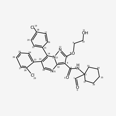 O=CC1(NC(=O)c2c(OCCO)nn3c(-c4ccc(Cl)cc4)c(-c4ccccc4Cl)cnc23)CCCCC1